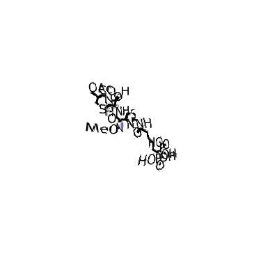 CO/N=C(\C(=O)N[C@@H]1C(=O)N2C(C(=O)O)=C(COC(C)=O)CS[C@H]12)c1csc(NC(=O)CCCCC(P(=O)(O)O)P(=O)(O)O)n1